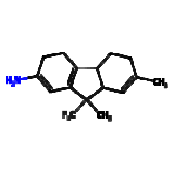 CC1=CC2C(CC1)C1=C(C=C(N)CC1)C2(C)C(F)(F)F